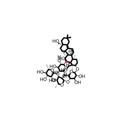 C[C@@H]1O[C@@H](O[C@H]2[C@@H](O)[C@@H](C)O[C@@H](O[C@H]3[C@H](O)[C@@H](O)[C@H](O[C@H]4CC[C@@]5(C)[C@@H](CC[C@]6(C)[C@@H]5C=CC5=C7CC(C)(C)CC[C@]7(CO)CC[C@]56C)[C@]4(C)CO)O[C@@H]3CO)[C@@H]2O[C@@H]2O[C@H](CO)[C@@H](O)[C@H](O)[C@H]2O)[C@H](O)[C@H](O)[C@H]1O